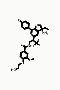 CCC1(N)COc2c1cc(C(CNC(=O)c1ccc(OCCO)c(OC)c1)C(F)(F)F)nc2-c1ccc(F)cc1